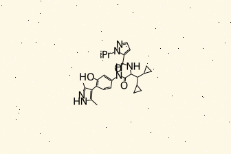 Cc1n[nH]c(C)c1-c1ccc(NC(=O)C(NC(=O)c2ccnn2C(C)C)C(C2CC2)C2CC2)cc1O